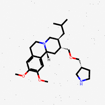 COc1cc2c(cc1OC)[C@H]1C[C@@H](COC[C@@H]3CCNC3)[C@H](CC(C)C)CN1CC2